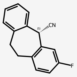 N#C[C@H]1c2ccccc2CCc2ccc(F)cc21